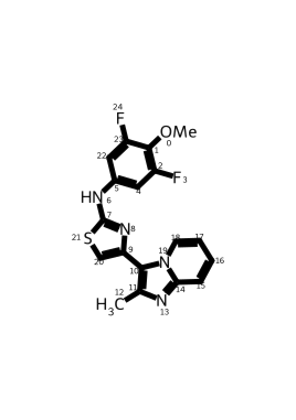 COc1c(F)cc(Nc2nc(-c3c(C)nc4ccccn34)cs2)cc1F